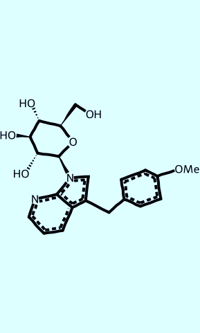 COc1ccc(Cc2cn([C@@H]3O[C@H](CO)[C@@H](O)[C@H](O)[C@H]3O)c3ncccc23)cc1